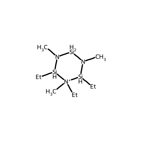 CC[SiH]1N(C)[SiH2]N(C)[SiH](CC)[N+]1(C)CC